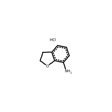 Cl.Nc1cccc2c1OCC2